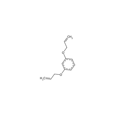 C=CCOc1c[c]cc(OCC=C)c1